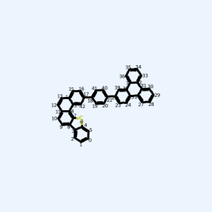 c1ccc2c(c1)sc1c2ccc2ccc3ccc(-c4ccc(-c5ccc6c7ccccc7c7ccccc7c6c5)cc4)cc3c21